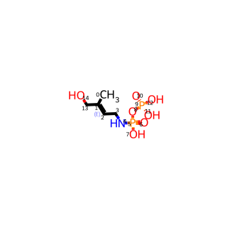 C/C(=C\CNP(=O)(O)OP(=O)(O)O)CO